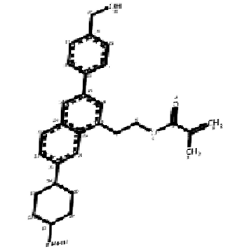 C=C(C)C(=O)OCCc1cc(-c2ccc(CO)cc2)cc2ccc(C3CCC(CCCCC)CC3)cc12